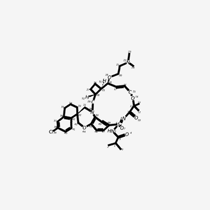 CC(C)C(=O)NS1(=O)=NC(=O)C(C)(C)OC/C=C/[C@H](OCCN(C)C)[C@@H]2CC[C@H]2CN2C[C@@]3(CCCc4cc(Cl)ccc43)COc3ccc1cc32